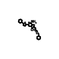 Cn1c(CCCOCc2ccccc2)nc2c(N)nc(-c3ccc(-c4ccccc4)s3)cc21